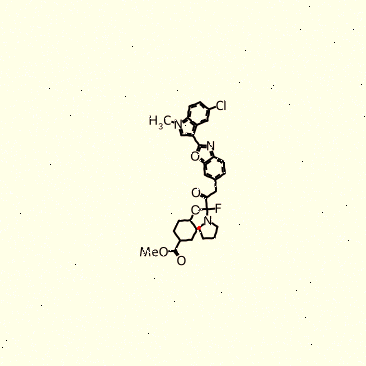 COC(=O)C1CCC(OC(F)(C(=O)Cc2ccc3nc(-c4cn(C)c5ccc(Cl)cc45)oc3c2)N2CCCC2)CC1